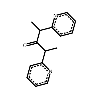 CC(C(=O)C(C)c1ccccn1)c1ccccn1